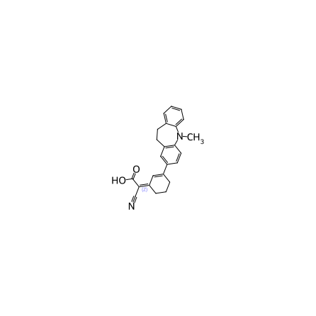 CN1c2ccccc2CCc2cc(C3=C/C(=C(/C#N)C(=O)O)CCC3)ccc21